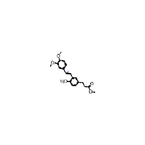 COC(=O)CCc1ccc(O)c(/C=C/c2ccc(OC)c(OC)c2)c1